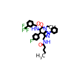 CCCCC(=O)NCc1nn(-c2ccccc2)c2c1C(c1ccc(F)cc1)C(NC(=O)c1cccc(C(F)(F)F)c1)C(=O)N2CC